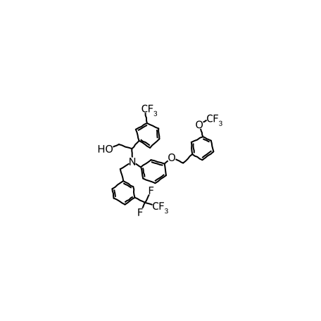 OCC(c1cccc(C(F)(F)F)c1)N(Cc1cccc(C(F)(F)C(F)(F)F)c1)c1cccc(OCc2cccc(OC(F)(F)F)c2)c1